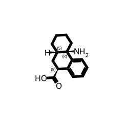 N[C@]12CCCC[C@H]1C[C@H](C(=O)O)c1ccccc12